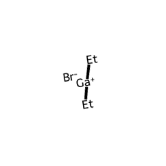 C[CH2][Ga+][CH2]C.[Br-]